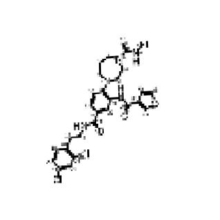 CCNC(=O)N1CCCN(c2ccc(C(=O)NCCc3ccc(Cl)cc3Cl)cc2NC(=O)c2ccoc2)CC1